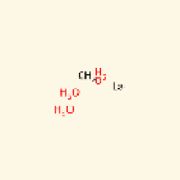 C.O.O.O.[La]